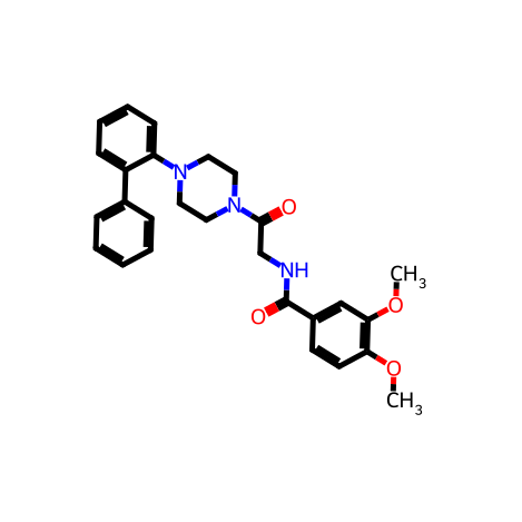 COc1ccc(C(=O)NCC(=O)N2CCN(c3ccccc3-c3ccccc3)CC2)cc1OC